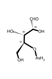 O=C[C@H](O)[C@@H](O)[C@H](CO)O[AsH2]